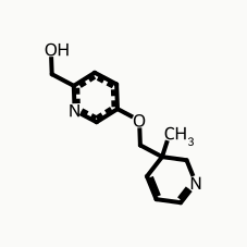 CC1(COc2ccc(CO)nc2)C=CC=NC1